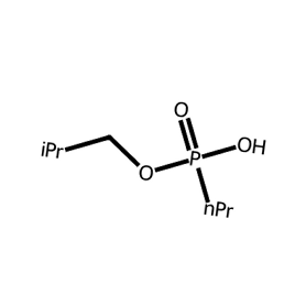 CCCP(=O)(O)OCC(C)C